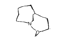 [CH]1CC2CCCN2O1